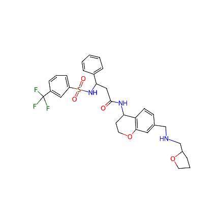 O=C(CC(NS(=O)(=O)c1cccc(C(F)(F)F)c1)c1ccccc1)NC1CCOc2cc(CNCC3CCCO3)ccc21